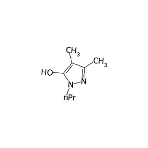 CCCn1nc(C)c(C)c1O